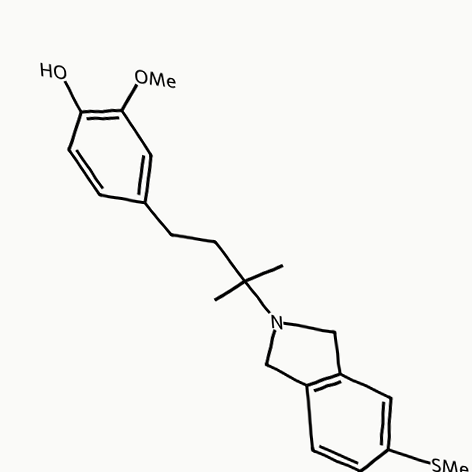 COc1cc(CCC(C)(C)N2Cc3ccc(SC)cc3C2)ccc1O